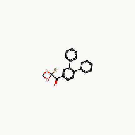 O=C(c1ccc(-c2ccccc2)c(-c2ccccc2)c1)C1(Br)OCO1